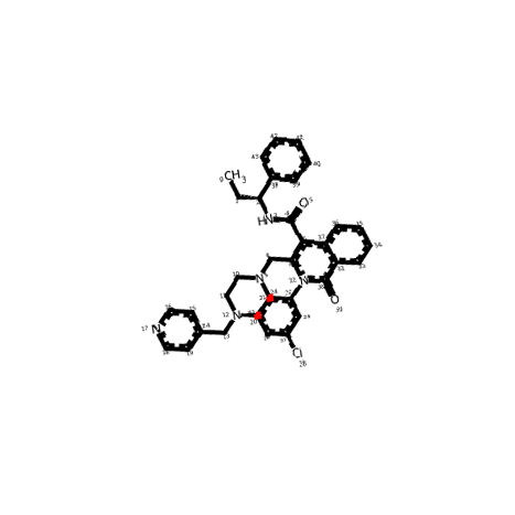 CC[C@H](NC(=O)c1c(CN2CCN(Cc3ccncc3)CC2)n(-c2cccc(Cl)c2)c(=O)c2ccccc12)c1ccccc1